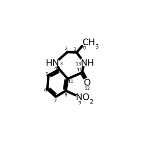 CC1CNc2cccc([N+](=O)[O-])c2C(=O)N1